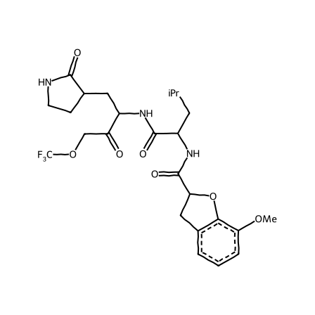 COc1cccc2c1OC(C(=O)NC(CC(C)C)C(=O)NC(CC1CCNC1=O)C(=O)COC(F)(F)F)C2